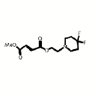 COC(=O)C=CC(=O)OCCN1CCC(F)(F)CC1